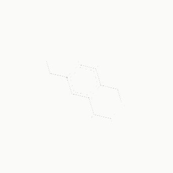 OCc1ccc2c(c1)CCOC2